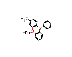 Cc1ccc([S+](c2ccccc2)c2ccccc2)c(OC(C)(C)C)c1